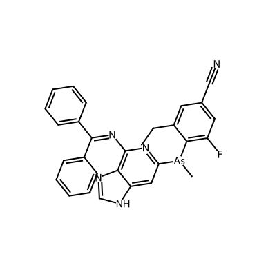 CCc1cc(C#N)cc(F)c1[As](C)c1cc2[nH]cnc2c(N=C(c2ccccc2)c2ccccc2)n1